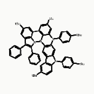 CC(C)(C)c1ccc(N2c3cc4c(cc3B3c5c(cc(C(C)(C)C)cc52)-c2cc(C(C)(C)C)cc5c(-c6ccccc6)c(-c6ccccc6)n3c25)c2cc(C(C)(C)C)ccc2n4-c2ccc(C(C)(C)C)cc2)cc1